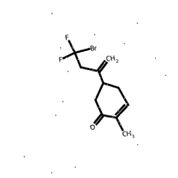 C=C(CC(F)(F)Br)C1CC=C(C)C(=O)C1